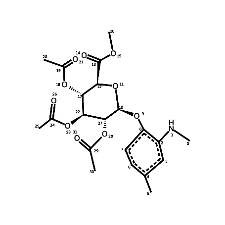 CNc1cc(C)ccc1O[C@@H]1O[C@H](C(=O)OC)[C@@H](OC(C)=O)[C@H](OC(C)=O)[C@H]1OC(C)=O